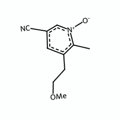 COCCc1cc(C#N)c[n+]([O-])c1C